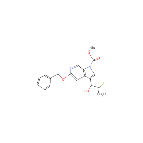 CCOC(=O)C(F)C(O)c1cn(C(=O)OC(C)(C)C)c2cnc(OCc3ccccc3)cc12